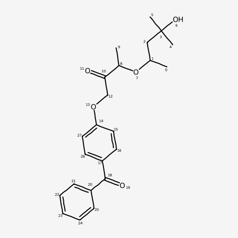 CC(CC(C)(C)O)OC(C)C(=O)COc1ccc(C(=O)c2ccccc2)cc1